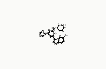 Fc1ccc2ncc(-c3nc(N[C@@H]4CCCNC4)cc(-n4cncn4)n3)n2c1